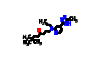 CCCN(CCCC(=O)CCC(C)(C)C)c1cc(-c2nnc(C)[nH]2)ccn1